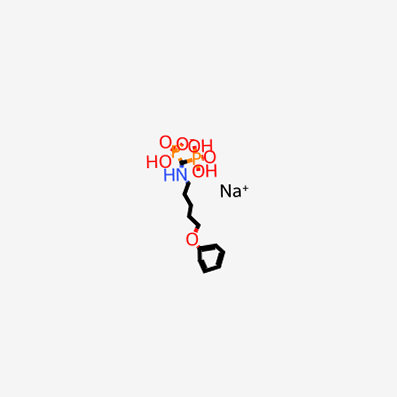 O=P([O-])(O)C(NCCCCCOc1ccccc1)P(=O)(O)O.[Na+]